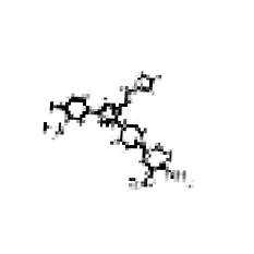 CCOC1=CN(N2CCC(c3nc(-c4ccc(F)c(C(F)(F)F)c4)cn3CCN3CCC3)CC2)CN=C1N